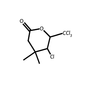 CC1(C)CC(=O)OC(C(Cl)(Cl)Cl)C1Cl